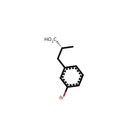 C[C@H](Cc1cccc(Br)c1)C(=O)O